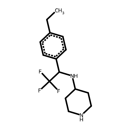 CCc1ccc(C(NC2CCNCC2)C(F)(F)F)cc1